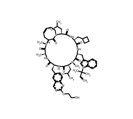 C=CC(C)(C)n1cc(C[C@@H]2NC(=O)[C@H](CC3CCC3)NC(=O)[C@H](CC(C)C)N3CC/C=C\C[C@@H](C3=O)N(C)C(=O)[C@H](C)NC(=O)[C@H](Cc3ccc4nc(OCCO)ncc4c3)NC(=O)[C@H](CC(C)C)N(C)C2=O)c2ccccc21